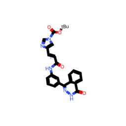 CC(C)(C)OC(=O)n1cnc(/C=C/C(=O)Nc2cccc(-c3n[nH]c(=O)c4ccccc34)c2)c1